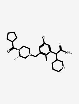 Cc1c(CN2CCN(C(=O)C3CCCC3)[C@@H](C)C2)cc(Cl)cc1C(C(N)=O)C1CCCOC1